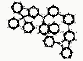 c1ccc(-n2c3ccccc3c3ccc(-c4cccc(-c5cccc(N(c6ccc7c(c6)C(c6ccccc6)(c6ccccc6)c6ccccc6-7)c6cccc7ccccc67)c5)c4)cc32)cc1